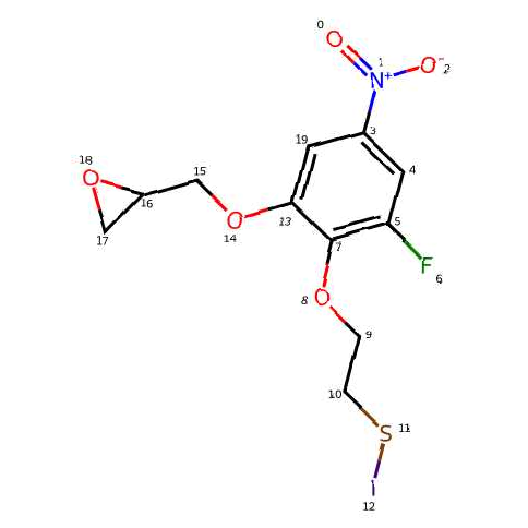 O=[N+]([O-])c1cc(F)c(OCCSI)c(OCC2CO2)c1